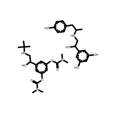 CC(Cc1ccc(O)cc1)NCC(O)c1cc(O)cc(O)c1.CN(C)C(=O)Oc1cc(OC(=O)N(C)C)cc(C(O)CNC(C)(C)C)c1